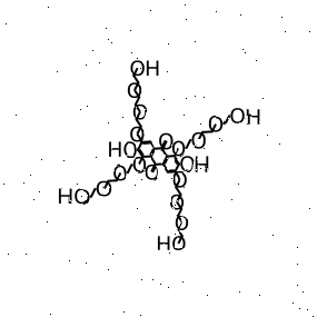 O=C1c2cc(OCCOCCOCCO)c(O)c(OCCOCCOCCO)c2C(=O)c2cc(OCCOCCOCCO)c(O)c(OCCOCCOCCO)c21